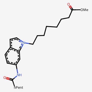 CCCCCC(=O)Nc1ccc2ccn(CCCCCCCC(=O)OC)c2c1